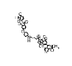 COc1cc(-c2cn(C)c(=O)c3cnccc23)cc(OC)c1CN(C)C(=O)CCCCNC1CCC(Oc2ccc3c(c2)C(=O)N(C2CCC(=O)NC2=O)C3=O)CC1